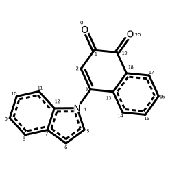 O=C1C=C(n2ccc3ccccc32)c2ccccc2C1=O